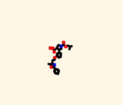 Cc1oc(-c2ccccc2)nc1CCOc1cccc(C2CN(C(=O)OCC(C)C)CC[C@@H]2C(=O)O)c1